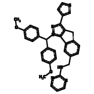 COc1ccc(C(c2ccc(OC)cc2)n2nc(-c3ccsc3)c3c2-c2cc(CNc4ncccn4)ccc2C3)cc1